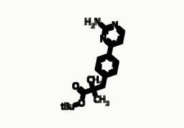 CC(C)(C)OC(=O)C(C)(C)Cc1ccc(-c2ccnc(N)n2)cc1